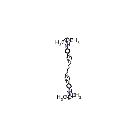 Cn1cc[n+](C)c1/N=N/c1ccc(N2CCN(CCCCCCN3CCN(c4ccc(/N=N/c5n(C)cc[n+]5C)cc4)CC3)CC2)cc1